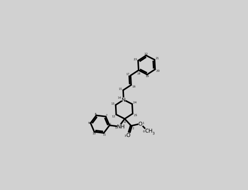 COC(=O)C1(Nc2ccccc2)CCN(CC=Cc2ccccc2)CC1